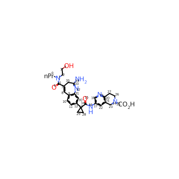 CCCN(CCO)C(=O)C1=Cc2ccc(C3(C(=O)Nc4cnc5c(c4)CN(C(=O)O)CC5)CC3)cc2N=C(N)C1